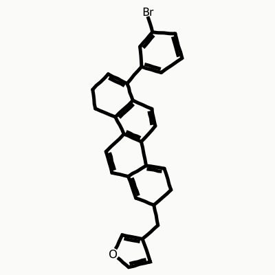 Brc1cccc(C2=CCCc3c2ccc2c4c(ccc32)=CC(Cc2ccoc2)CC=4)c1